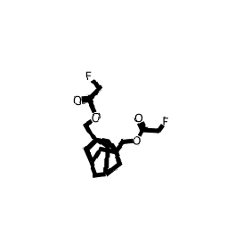 O=C(CF)OCC12CC3CC(C1)CC(COC(=O)CF)(C3)C2